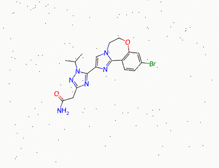 CC(C)n1nc(CC(N)=O)nc1-c1cn2c(n1)-c1ccc(Br)cc1OCC2